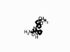 CC(C)N1CCCC2(CCCN(c3ncc(C(N)=O)c4[nH]c5ccccc5c34)C2)C1=O